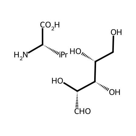 CC(C)[C@H](N)C(=O)O.O=C[C@H](O)[C@@H](O)[C@H](O)CO